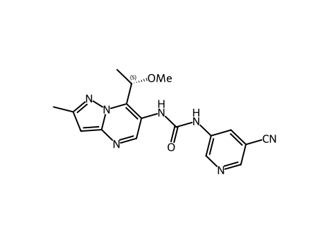 CO[C@@H](C)c1c(NC(=O)Nc2cncc(C#N)c2)cnc2cc(C)nn12